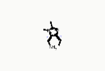 C/C=c1/nc(C)n(C)/c1=C/N